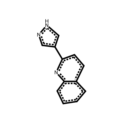 c1ccc2nc(-c3cn[nH]c3)ccc2c1